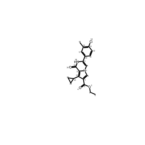 CCOC(=O)c1cn2cc(-c3ccc(Cl)c(C)c3)[nH]c(=O)c2c1C1CC1